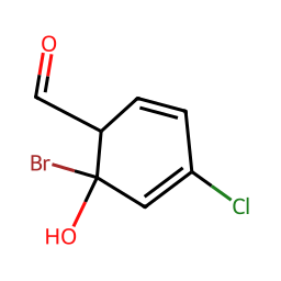 O=CC1C=CC(Cl)=CC1(O)Br